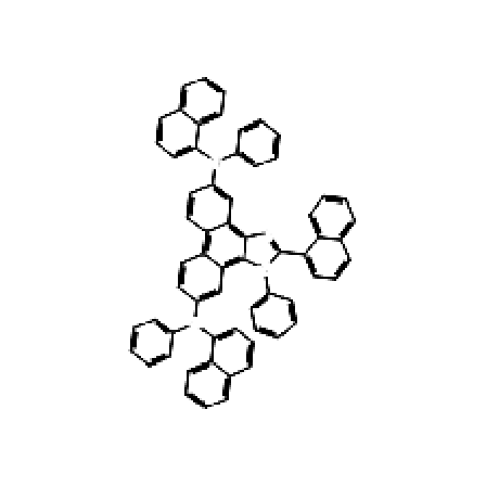 c1ccc(N(c2ccc3c4ccc(N(c5ccccc5)c5cccc6ccccc56)cc4c4c(nc(-c5cccc6ccccc56)n4-c4ccccc4)c3c2)c2cccc3ccccc23)cc1